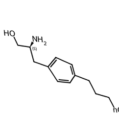 CCCCCCCCCCCc1ccc(C[C@H](N)CO)cc1